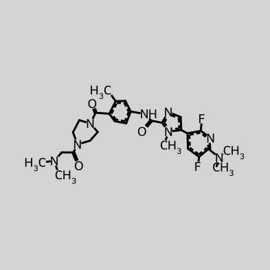 Cc1cc(NC(=O)c2ncc(-c3cc(F)c(N(C)C)nc3F)n2C)ccc1C(=O)N1CCN(C(=O)CN(C)C)CC1